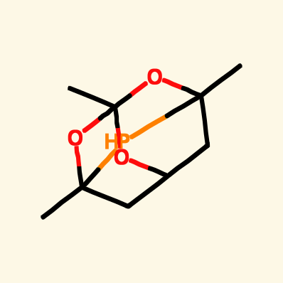 CC12OC3CC(C)(O1)PC(C)(C3)O2